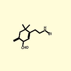 C=C1CC(C)(C)C(CCNCC)=CC1C=O